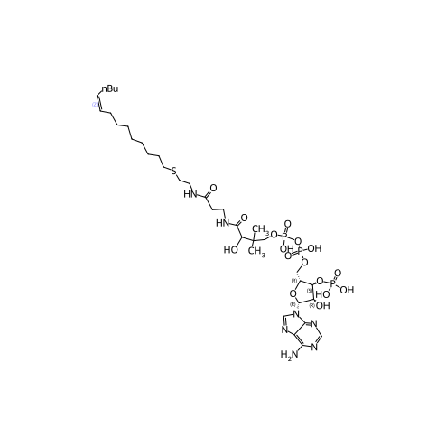 CCCC/C=C\CCCCCCCCSCCNC(=O)CCNC(=O)C(O)C(C)(C)COP(=O)(O)OP(=O)(O)OC[C@H]1O[C@@H](n2cnc3c(N)ncnc32)[C@H](O)[C@@H]1OP(=O)(O)O